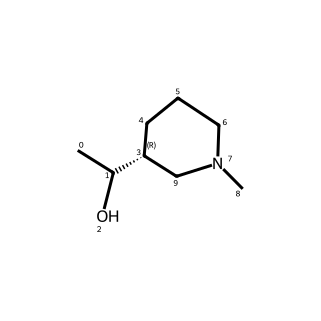 CC(O)[C@@H]1CCCN(C)C1